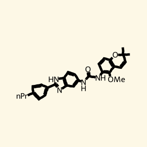 CCCc1ccc(-c2nc3cc(NC(=O)Nc4ccc5c(c4OC)C=CC(C)(C)O5)ccc3[nH]2)cc1